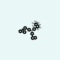 [2H]c1c([2H])c([2H])c2c(-c3ccc(N(c4ccc(-c5cccc(C6(C)c7ccccc7-c7ccccc76)c5)cc4)c4ccc(-c5cccc6ccccc56)cc4)cc3)c([2H])c([2H])c([2H])c2c1[2H]